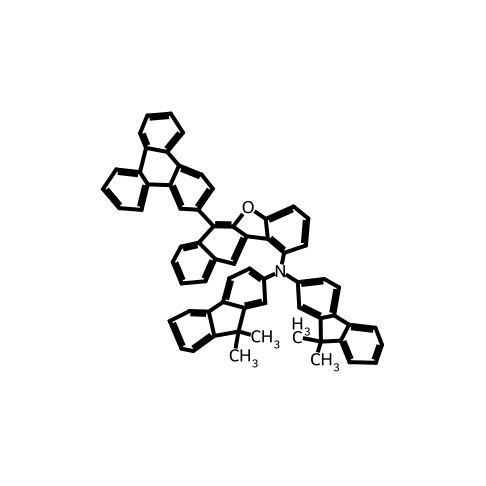 CC1(C)c2ccccc2-c2ccc(N(c3ccc4c(c3)C(C)(C)c3ccccc3-4)c3cccc4oc5c(-c6ccc7c8ccccc8c8ccccc8c7c6)c6ccccc6cc5c34)cc21